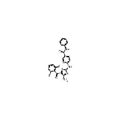 Nc1nc(Nc2ccc(C(=O)Nc3ccccc3)cn2)sc1C(=O)c1c(F)cccc1F